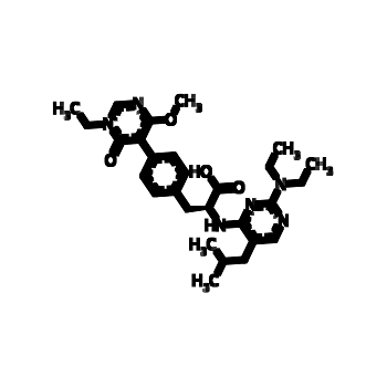 CCN(CC)c1ncc(CC(C)C)c(N[C@@H](Cc2ccc(-c3c(OC)ncn(CC)c3=O)cc2)C(=O)O)n1